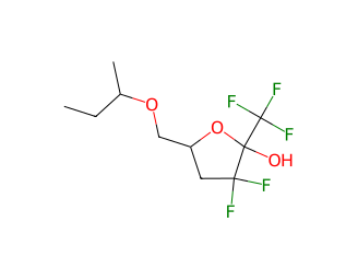 CCC(C)OCC1CC(F)(F)C(O)(C(F)(F)F)O1